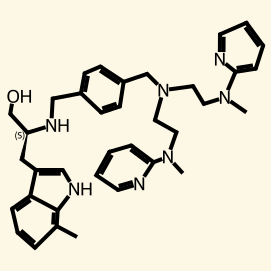 Cc1cccc2c(C[C@@H](CO)NCc3ccc(CN(CCN(C)c4ccccn4)CCN(C)c4ccccn4)cc3)c[nH]c12